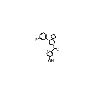 O=C(c1cc(O)no1)N1C[C@@H](c2cccc(F)c2)C2(CCC2)C1